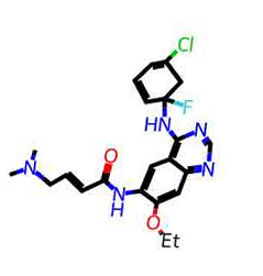 CCOc1cc2ncnc(NC3(F)C=CC=C(Cl)C3)c2cc1NC(=O)/C=C/CN(C)C